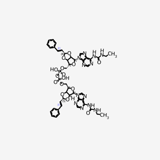 CCNC(=O)Nc1ncnc2c1ncn2[C@@H]1O[C@H](COP(=O)(O)OP(=O)(O)OC[C@H]2O[C@@H](n3cnc4c(NC(=O)NCC)ncnc43)[C@H]3O[C@@H](/C=C/c4ccccc4)OC23)C2O[C@@H](/C=C/c3ccccc3)OC21